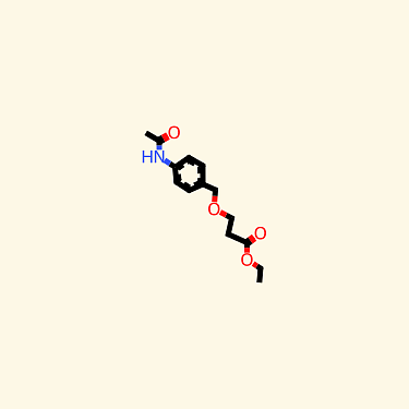 CCOC(=O)CCOCc1ccc(NC(C)=O)cc1